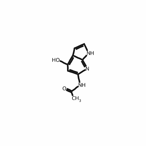 CC(=O)Nc1cc(O)c2cc[nH]c2n1